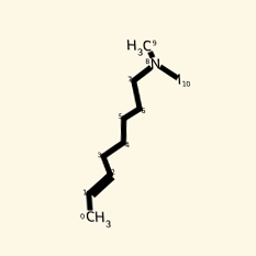 CC=CCCCCCN(C)I